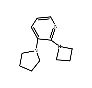 c1cnc(N2CCC2)c(N2CCCC2)c1